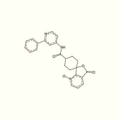 O=C1OC2(CCC(C(=O)Nc3ccnc(-c4ccccc4)c3)CC2)c2c1ccc[n+]2[O-]